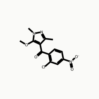 COc1c(C(=O)c2ccc([N+](=O)[O-])cc2Cl)c(C)nn1C